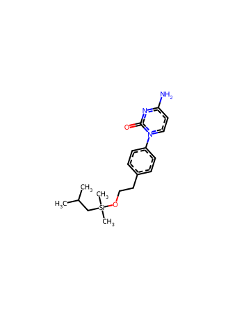 CC(C)C[Si](C)(C)OCCc1ccc(-n2ccc(N)nc2=O)cc1